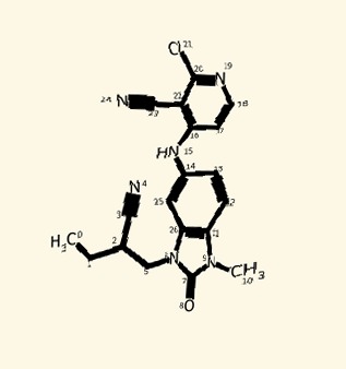 CCC(C#N)Cn1c(=O)n(C)c2ccc(Nc3ccnc(Cl)c3C#N)cc21